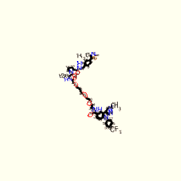 Cc1ncsc1-c1ccc(CNC(=O)C2CCCN2C(=O)C(NC(=O)COCCCOCCOCCNC(=O)C2C=Cc3c(c4cn(C)nc4n3-c3ccc(C(F)(F)F)cc3)C2)C(C)(C)C)cc1